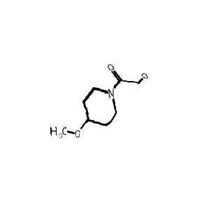 COC1CCN(C(=O)C[O])CC1